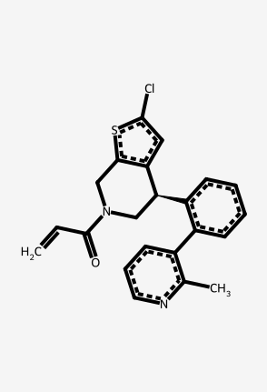 C=CC(=O)N1Cc2sc(Cl)cc2[C@@H](c2ccccc2-c2cccnc2C)C1